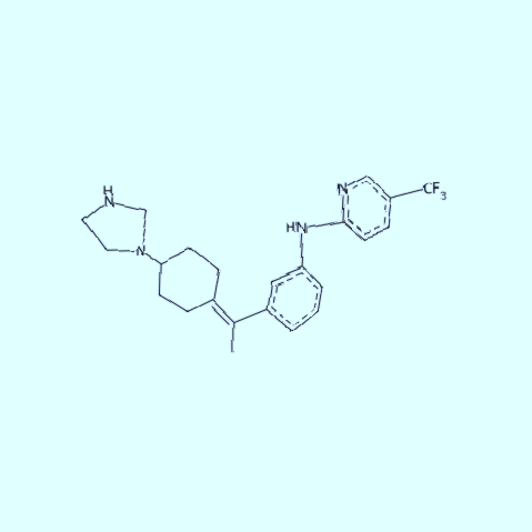 CC(=C1CCC(N2CCNC2)CC1)c1cccc(Nc2ccc(C(F)(F)F)cn2)c1